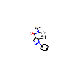 CCCN(CCC)C(=O)c1cnn(-c2ccccc2)c1C#N